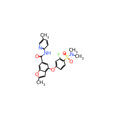 Cc1ccc(NC(=O)c2cc(Oc3ccc(S(=O)(=O)N(C)C)c(F)c3)c3cc(C)oc3c2)nc1